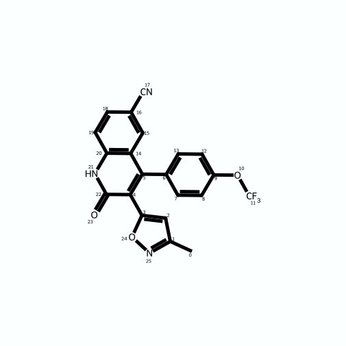 Cc1cc(-c2c(-c3ccc(OC(F)(F)F)cc3)c3cc(C#N)ccc3[nH]c2=O)on1